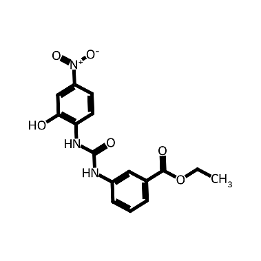 CCOC(=O)c1cccc(NC(=O)Nc2ccc([N+](=O)[O-])cc2O)c1